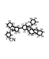 N#Cc1cccc(-n2c3ccccc3c3cc(-c4ccc5c(c4)c4ccc6c7ccccc7sc6c4n5-c4ccccc4)ccc32)c1